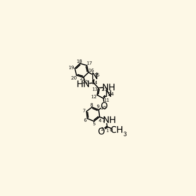 CC(=O)Nc1ccccc1Oc1cc(-c2nc3ccccc3[nH]2)[nH]n1